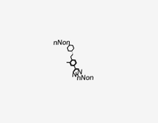 CCCCCCCCCc1ncc(-c2ccc(CC[C@H]3CC[C@H](CCCCCCCCC)CC3)c(C)c2)cn1